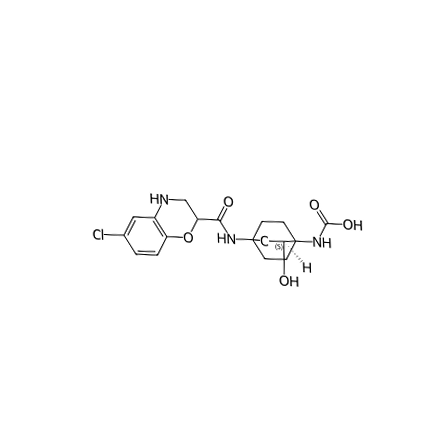 O=C(O)NC12CCC(NC(=O)C3CNc4cc(Cl)ccc4O3)(CC1)C[C@@H]2O